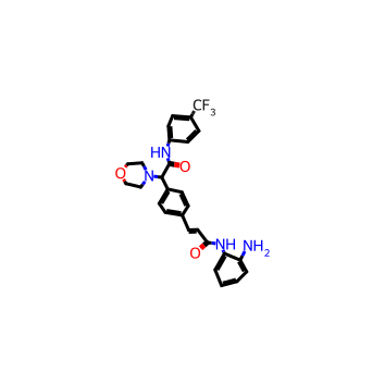 Nc1ccccc1NC(=O)/C=C/c1ccc(C(C(=O)Nc2ccc(C(F)(F)F)cc2)N2CCOCC2)cc1